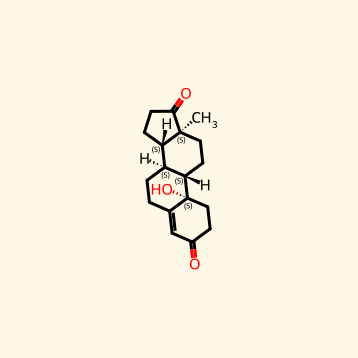 C[C@]12CC[C@H]3[C@@H](CCC4=CC(=O)CC[C@@]43O)[C@@H]1CCC2=O